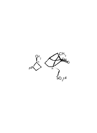 CC1(C)C2CC[C@]1(CS(=O)(=O)O)C(=O)C2.C[C@H]1CCN1